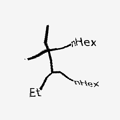 [CH2]C(C)(CCCCCC)C(CC)CCCCCC